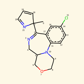 CC1(C2=NCC3COCCN3c3ccc(Cl)cc32)C=CC=N1